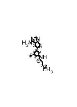 COCCC(=O)Nc1cc(F)cc(-c2ccc3ncnc(N)c3c2)c1